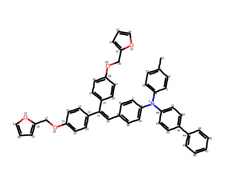 Cc1ccc(N(c2ccc(C=C(c3ccc(OCc4ccco4)cc3)c3ccc(OCc4ccco4)cc3)cc2)c2ccc(-c3ccccc3)cc2)cc1